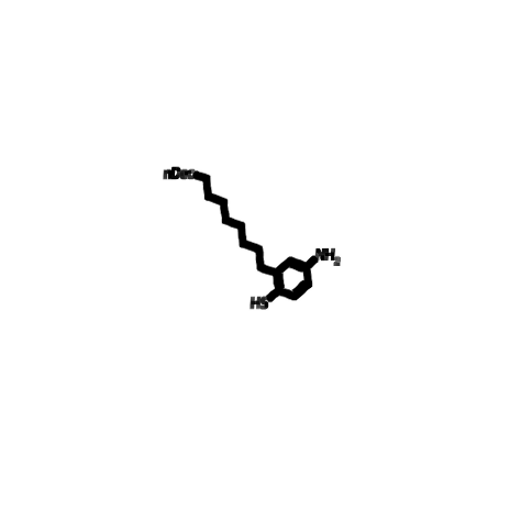 CCCCCCCCCCCCCCCCCCc1cc(N)ccc1S